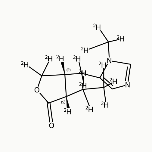 [2H]C([2H])([2H])n1cncc1C([2H])([2H])[C@@]1([2H])C([2H])([2H])OC(=O)[C@@]1([2H])C([2H])([2H])C([2H])([2H])[2H]